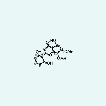 COc1cc(O)c2c(=O)cc(-c3c(O)cccc3O)oc2c1OC